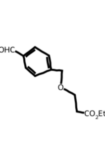 CCOC(=O)CCOCc1ccc(C=O)cc1